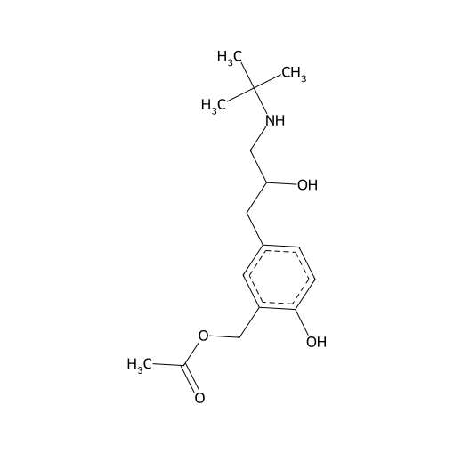 CC(=O)OCc1cc(CC(O)CNC(C)(C)C)ccc1O